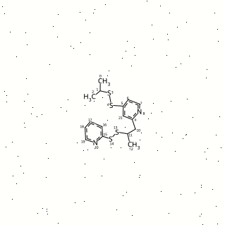 CC(C)SSc1ccnc(CC(C)SSc2ccccn2)c1